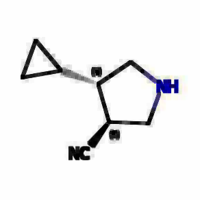 N#C[C@@H]1CNC[C@H]1C1CC1